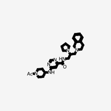 CC(=O)N1CCC(Nc2cc(C(=O)NCC(CN3CCc4ccccc4C3)N3CCCC3)ncn2)CC1